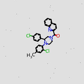 Cc1ccc(N2CCN(C(=O)c3ccc4ccccc4n3)CC2c2ccc(Cl)cc2)c(Cl)c1